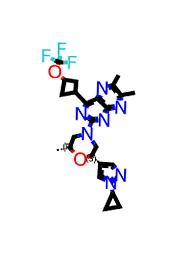 Cc1nc2nc(N3C[C@@H](C)O[C@@H](c4cnn(C5CC5)c4)C3)nc(C3CC(OC(F)(F)F)C3)c2nc1C